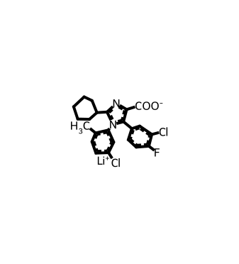 Cc1ccc(Cl)cc1-n1c(C2CCCCC2)nc(C(=O)[O-])c1-c1ccc(F)c(Cl)c1.[Li+]